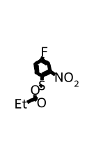 CCC(=O)OSc1ccc(F)cc1[N+](=O)[O-]